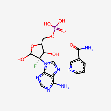 NC(=O)c1cccnc1.Nc1ncnc2c1ncn2[C@@]1(F)C(O)O[C@H](COP(=O)(O)O)[C@H]1O